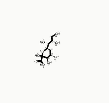 O=C(O)C1(O)O[C@@H]([C@H](O)[C@@H](O)CO)C[C@H](O)[C@H]1O